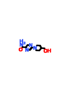 NC(=O)c1cnc(N2CCC(CO)CC2)cn1